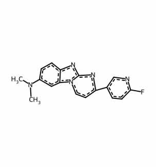 CN(C)c1ccc2nc3nc(-c4ccc(F)nc4)ccn3c2c1